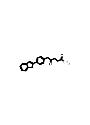 CC(=O)CCC(=O)Cc1ccc(C2=Cc3ccccc3C2)cc1